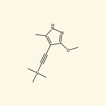 COc1n[nH]c(C)c1C#C[Si](C)(C)C